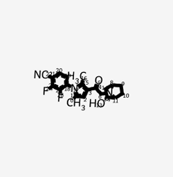 Cc1cc(C(=O)CN2C3CCC2[C@@H](O)C3)c(C)n1-c1ccc(C#N)c(F)c1F